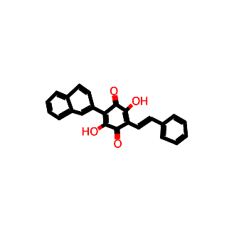 O=C1C(O)=C(c2ccc3ccccc3c2)C(=O)C(O)=C1/C=C/c1ccccc1